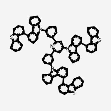 c1cc(-c2cc(-n3c4ccccc4c4c(-c5cccc6sc7ccccc7c56)cccc43)cc(-c3cccc(-n4c5ccccc5c5c(-c6cccc7sc8ccccc8c67)cccc54)c3)n2)cc(-n2c3ccccc3c3c(-c4cccc5sc6ccccc6c45)cccc32)c1